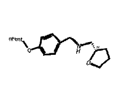 CCCCCOc1ccc(CNC[C@@H]2CCCO2)cc1